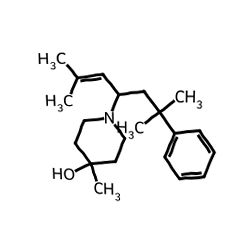 CC(C)=CC(CC(C)(C)c1ccccc1)N1CCC(C)(O)CC1